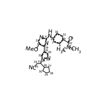 COc1cnc(Nc2ccc(C(=O)N(C)C)cc2)nc1-c1cnn(C(CC#N)C2CCCC2)c1